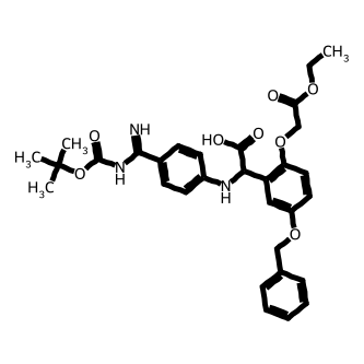 CCOC(=O)COc1ccc(OCc2ccccc2)cc1C(Nc1ccc(C(=N)NC(=O)OC(C)(C)C)cc1)C(=O)O